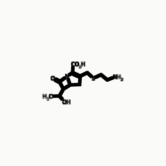 CC(O)C1C(=O)N2C(C(=O)O)=C(CSCCN)CC12